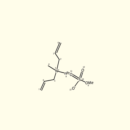 C=CC[N+](C)(CC=C)CCC.COS(=O)(=O)[O-]